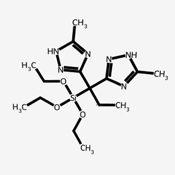 C[CH]C(c1n[nH]c(C)n1)(c1n[nH]c(C)n1)[Si](OCC)(OCC)OCC